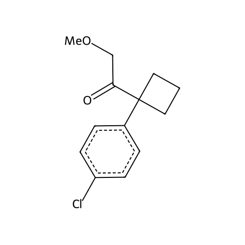 COCC(=O)C1(c2ccc(Cl)cc2)CCC1